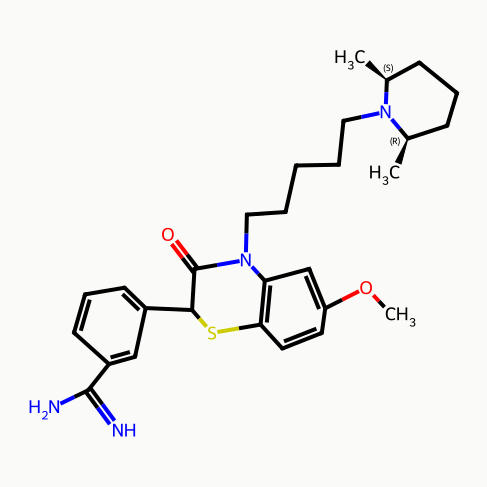 COc1ccc2c(c1)N(CCCCCN1[C@H](C)CCC[C@@H]1C)C(=O)C(c1cccc(C(=N)N)c1)S2